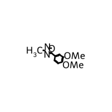 COc1ccc(-c2nc(C)no2)cc1OC